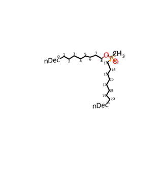 CCCCCCCCCCCCCCCCCCOP(C)(=O)CCCCCCCCCCCCCCCCCC